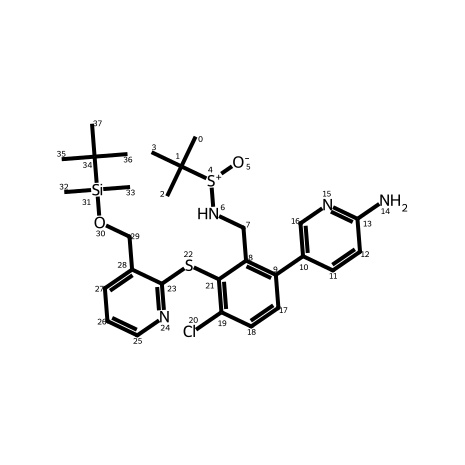 CC(C)(C)[S+]([O-])NCc1c(-c2ccc(N)nc2)ccc(Cl)c1Sc1ncccc1CO[Si](C)(C)C(C)(C)C